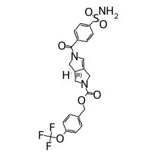 NS(=O)(=O)c1ccc(C(=O)N2C=C3CN(C(=O)OCc4ccc(OC(F)(F)F)cc4)C[C@H]3C2)cc1